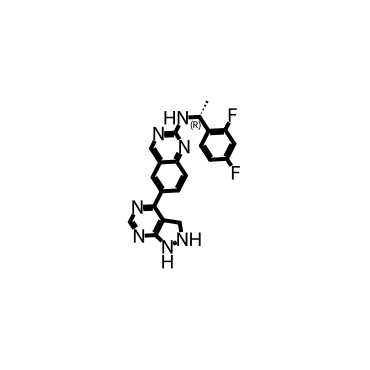 C[C@@H](Nc1ncc2cc(-c3ncnc4c3CNN4)ccc2n1)c1ccc(F)cc1F